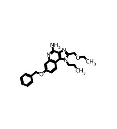 CCCn1c(COCC)nc2c(N)nc3cc(OCc4ccccc4)ccc3c21